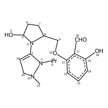 CC(C)N1C(N2C(O)CCC2COc2cccc(O)c2C=O)=CCN1C